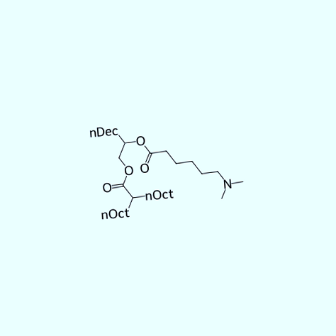 CCCCCCCCCCC(COC(=O)C(CCCCCCCC)CCCCCCCC)OC(=O)CCCCCN(C)C